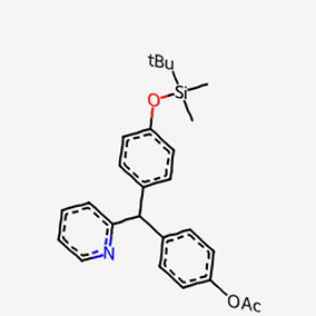 CC(=O)Oc1ccc(C(c2ccc(O[Si](C)(C)C(C)(C)C)cc2)c2ccccn2)cc1